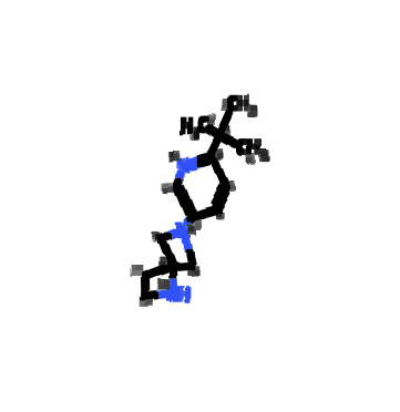 CC(C)(C)c1ccc(N2CC3(CCN3)C2)cn1